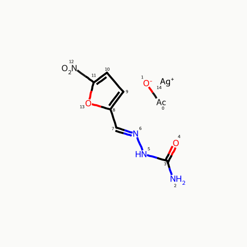 CC(=O)[O-].NC(=O)N/N=C/c1ccc([N+](=O)[O-])o1.[Ag+]